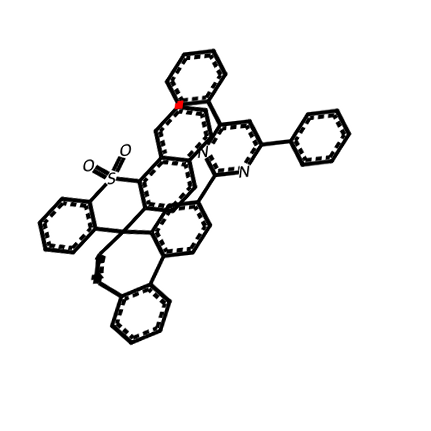 O=S1(=O)c2ccccc2C2(c3ccccc3-c3ccccc3-c3ccc(-c4nc(-c5ccccc5)cc(-c5ccccc5)n4)cc32)c2ccc3ccccc3c21